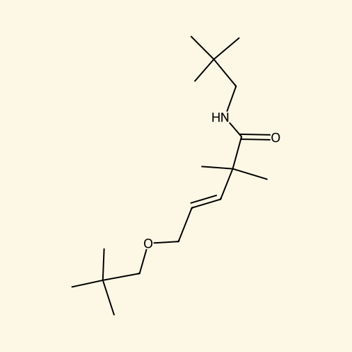 CC(C)(C)CNC(=O)C(C)(C)C=CCOCC(C)(C)C